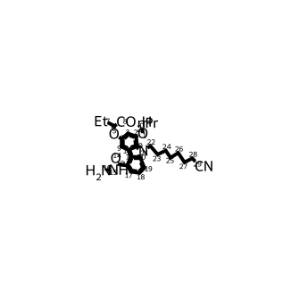 CCCOc1cc(OC(CC)C(=O)O)cc2c3c(C(=O)NN)cccc3n(CCCCCCCC#N)c12